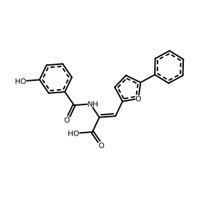 O=C(O)C(=Cc1ccc(-c2ccccc2)o1)NC(=O)c1cccc(O)c1